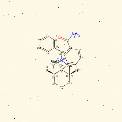 CO[C@@]1(c2cccc(C(N)=O)c2)[C@@H]2CCC[C@H]1CN(Cc1ccccc1)C2